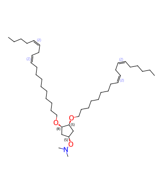 CCCC/C=C\C/C=C\CCCCCCCCCO[C@@H]1C[C@H](ON(C)C)C[C@@H]1OCCCCCCCC/C=C\C/C=C\CCCCC